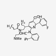 C=CC(=O)N(CCNC)CC(C)c1cc(Cl)c(-c2cc(F)ccc2O)nc1N(C=O)c1ccccc1C(C)C